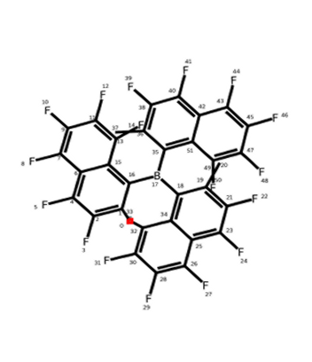 Cc1c(F)c(F)c2c(F)c(F)c(F)c(F)c2c1B(c1c(C)c(F)c(F)c2c(F)c(F)c(F)c(F)c12)c1c(C)c(F)c(F)c2c(F)c(F)c(F)c(F)c12